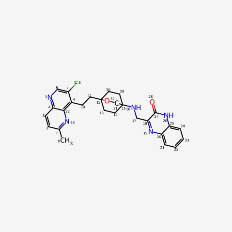 Cc1ccc2ncc(F)c(CCC34CCC(NCc5nc6ccccc6[nH]c5=O)(CC3)CO4)c2n1